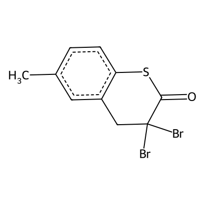 Cc1ccc2c(c1)CC(Br)(Br)C(=O)S2